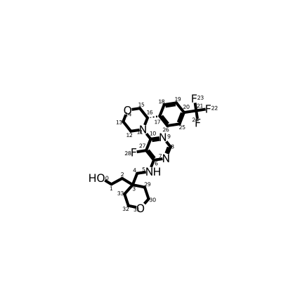 OCCC1(CNc2ncnc(N3CCOC[C@@H]3c3ccc(C(F)(F)F)cc3)c2F)CCOCC1